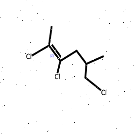 C/C(Cl)=C(/Cl)CC(C)CCl